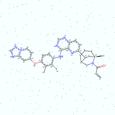 C=CC(=O)N1CC2CCC[C@H]1CC2c1ccc2ncnc(Nc3ccc(Oc4ccn5ncnc5c4)c(C)c3F)c2n1